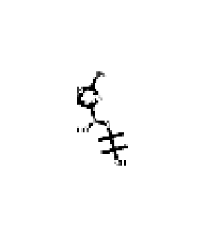 CC(C)(C)c1ncc(B(O)OC(C)(C)C(C)(C)O)s1